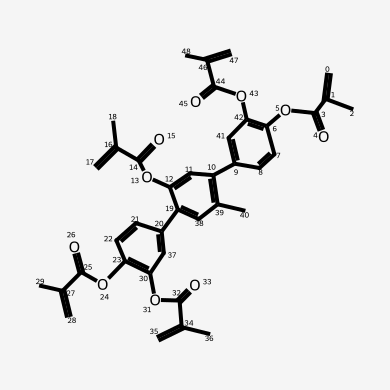 C=C(C)C(=O)Oc1ccc(-c2cc(OC(=O)C(=C)C)c(-c3ccc(OC(=O)C(=C)C)c(OC(=O)C(=C)C)c3)cc2C)cc1OC(=O)C(=C)C